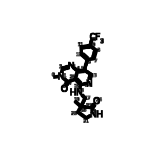 Cn1cnc2c(-c3ccc(C(F)(F)F)cc3)cnc(NCC3(C)CCNC3=O)c2c1=O